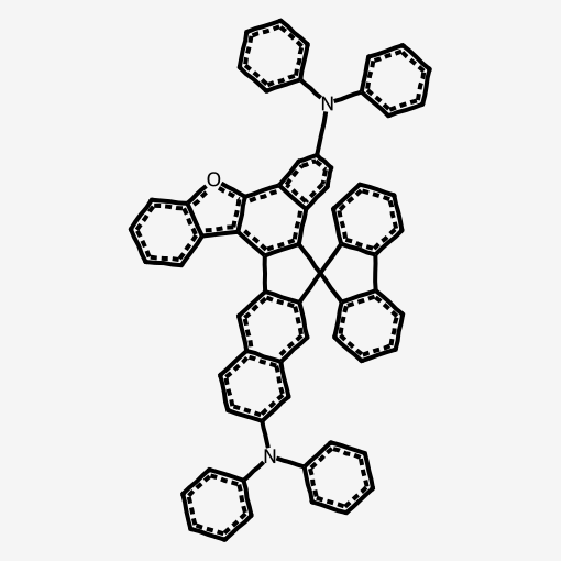 c1ccc(N(c2ccccc2)c2ccc3cc4c(cc3c2)C2(c3ccccc3-c3ccccc32)c2c-4c3c4ccccc4oc3c3cc(N(c4ccccc4)c4ccccc4)ccc23)cc1